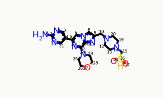 Nc1ncc(-c2cn3cc(CN4CCN(C[SH](=O)=O)CC4)nc3c(N3CCOCC3)n2)cn1